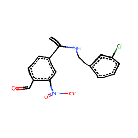 C=C(NCc1cccc(Cl)c1)c1ccc(C=O)c([N+](=O)[O-])c1